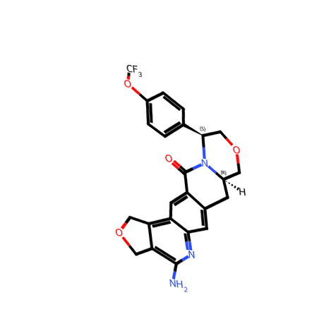 Nc1nc2cc3c(cc2c2c1COC2)C(=O)N1[C@@H](COC[C@@H]1c1ccc(OC(F)(F)F)cc1)C3